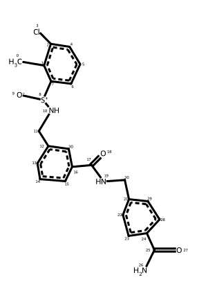 Cc1c(Cl)cccc1[S+]([O-])NCc1cccc(C(=O)NCc2ccc(C(N)=O)cc2)c1